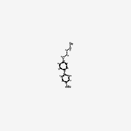 CCCCc1cnc(-c2ccc(OCCOCCC)cc2)nc1